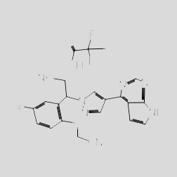 N#CCOc1ccc(Br)cc1C(CC#N)n1cc(-c2ncnc3[nH]ccc23)cn1.O=C(O)C(F)(F)F